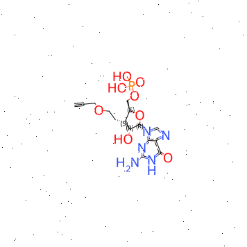 C#CCOCC[C@H]1[C@@H](O)[C@H](n2cnc3c(=O)[nH]c(N)nc32)O[C@@H]1COP(=O)(O)O